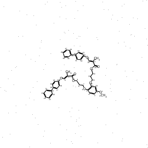 COc1ccc(OCCCOC(=O)C(C)=COc2ccc(-c3ccccc3)cc2)c(OCCCOC(=O)C(C)=COc2ccc(-c3ccccc3)cc2)c1